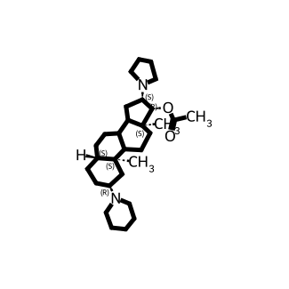 CC(=O)O[C@H]1[C@@H](N2CCCC2)CC2C3CC[C@H]4CC[C@@H](N5CCCCC5)C[C@]4(C)C3CC[C@@]21C